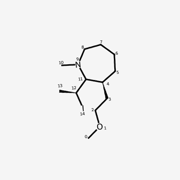 COCC[C@@H]1CCCCN(C)C1[C@H](C)I